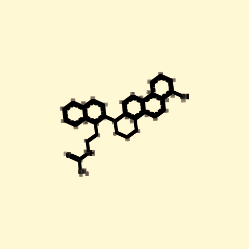 CC(=O)NCCc1c(C2CCCc3c2ccc2c3ccc3c(O)cccc32)ccc2ccccc12